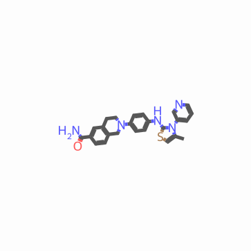 CC1=CSC(Nc2ccc(N3CCc4cc(C(N)=O)ccc4C3)cc2)N1c1cccnc1